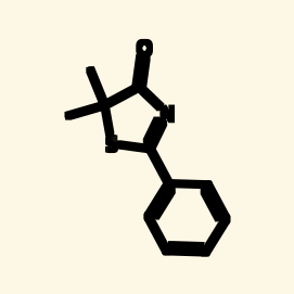 CC1(C)SC(c2ccccc2)=NC1=O